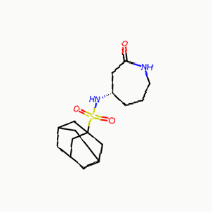 O=C1C[C@@H](NS(=O)(=O)C23CC4CC(CC(C4)C2)C3)CCCN1